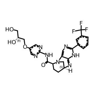 O=C(Nc1ncc(OC[C@H](O)CO)cn1)C1CC[C@H]2CN1C1=CN=C(c3cccc(C(F)(F)F)c3)NC1=N2